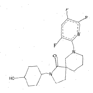 O=C1N(C2CCC(O)CC2)CCC12CCCN(c1nc(F)c(F)cc1F)C2